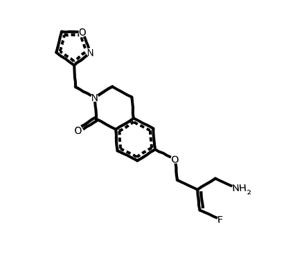 NC/C(=C\F)COc1ccc2c(c1)CCN(Cc1ccon1)C2=O